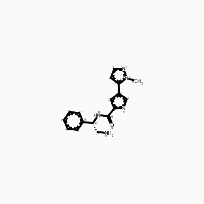 Cn1nccc1-c1csc(C(=O)N[C@H](CN)c2ccccc2)c1